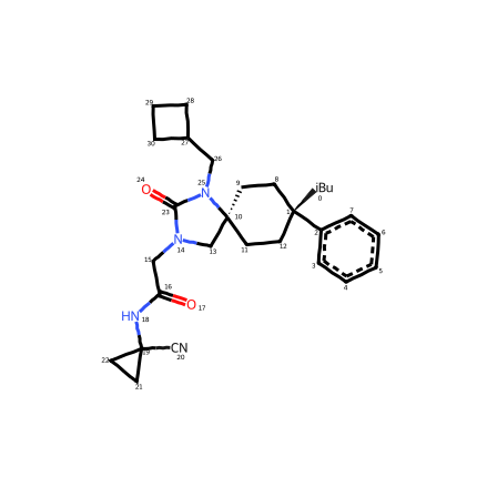 CCC(C)[C@]1(c2ccccc2)CC[C@]2(CC1)CN(CC(=O)NC1(C#N)CC1)C(=O)N2CC1CCC1